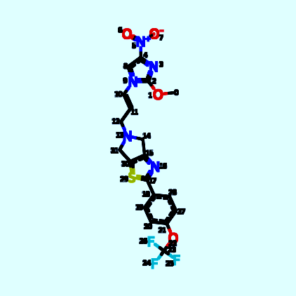 COc1nc([N+](=O)[O-])cn1/C=C/CN1Cc2nc(-c3ccc(OC(F)(F)F)cc3)sc2C1